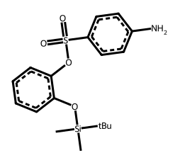 CC(C)(C)[Si](C)(C)Oc1ccccc1OS(=O)(=O)c1ccc(N)cc1